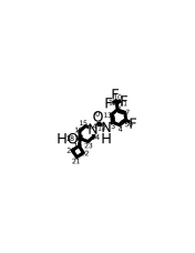 O=C(Nc1cc(F)cc(C(F)(F)F)c1)N1CCC(O)(C2CCC2)CC1